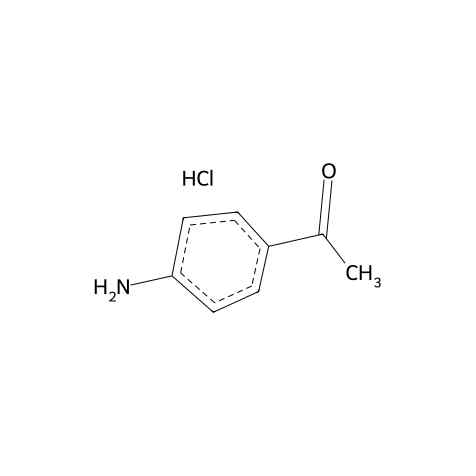 CC(=O)c1ccc(N)cc1.Cl